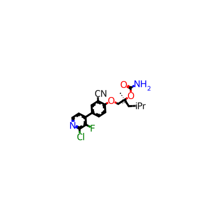 CC(C)C[C@@](C)(COc1ccc(-c2ccnc(Cl)c2F)cc1C#N)OC(N)=O